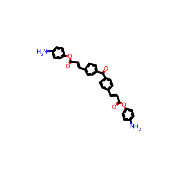 Nc1ccc(OC(=O)/C=C/c2ccc(C(=O)c3ccc(/C=C/C(=O)Oc4ccc(N)cc4)cc3)cc2)cc1